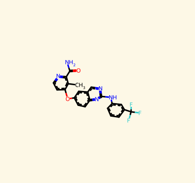 Cc1c(Oc2ccc3nc(Nc4cccc(C(F)(F)F)c4)ncc3c2)ccnc1C(N)=O